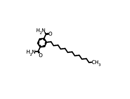 CCCCCCCCCCCCCc1cc(C(N)=O)ccc1C(N)=O